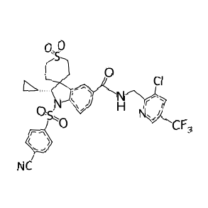 N#Cc1ccc(S(=O)(=O)N2c3ccc(C(=O)NCc4ncc(C(F)(F)F)cc4Cl)cc3C3(CCS(=O)(=O)CC3)[C@H]2C2CC2)cc1